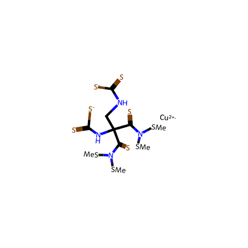 CSN(SC)C(=S)C(CNC(=S)[S-])(NC(=S)[S-])C(=S)N(SC)SC.[Cu+2]